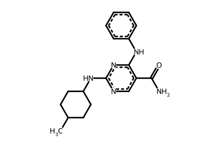 CC1CCC(Nc2ncc(C(N)=O)c(Nc3ccccc3)n2)CC1